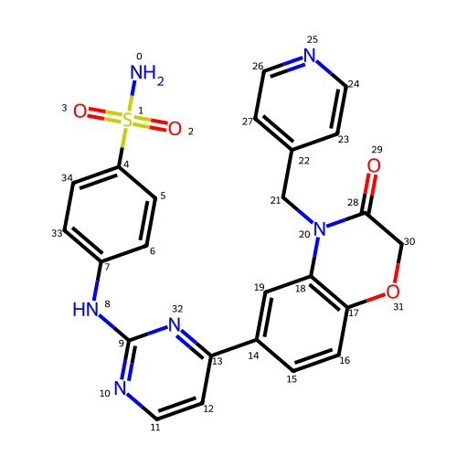 NS(=O)(=O)c1ccc(Nc2nccc(-c3ccc4c(c3)N(Cc3ccncc3)C(=O)CO4)n2)cc1